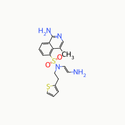 Cc1cnc(N)c2cccc(S(=O)(=O)N(C=CN)CCc3cccs3)c12